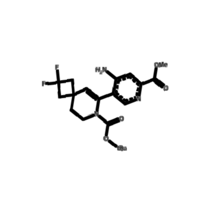 COC(=O)c1cc(N)c(C2=CC3(CCN2C(=O)OC(C)(C)C)CC(F)(F)C3)cn1